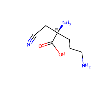 N#CC[C@](N)(CCCN)C(=O)O